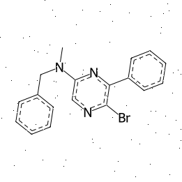 CN(Cc1ccccc1)c1cnc(Br)c(-c2ccccc2)n1